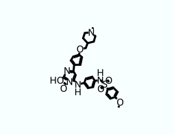 COc1ccc(S(=O)(=O)Nc2ccc(Nc3cc(-c4ccc(OCC5CCN(C)CC5)cc4)ncn3)cc2)cc1.O=CO